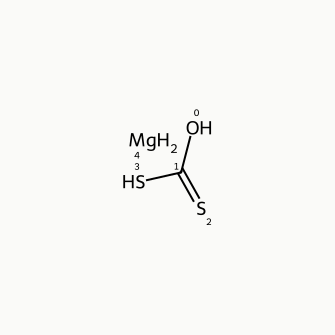 OC(=S)S.[MgH2]